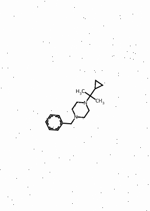 CC(C)(C1CC1)N1CCN(Cc2ccccc2)CC1